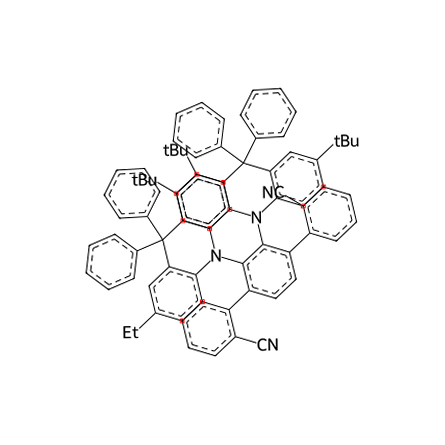 CCc1ccc2c(c1)C(c1ccccc1)(c1ccccc1)c1cc(C(C)(C)C)ccc1N2c1c(-c2ccccc2C#N)ccc(-c2ccccc2C#N)c1N1c2ccc(C(C)(C)C)cc2C(c2ccccc2)(c2ccccc2)c2cc(C(C)(C)C)ccc21